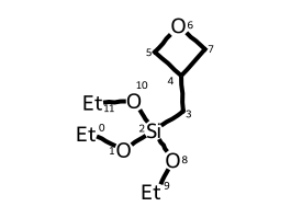 CCO[Si](CC1COC1)(OCC)OCC